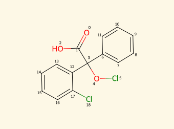 O=C(O)C(OCl)(c1ccccc1)c1ccccc1Cl